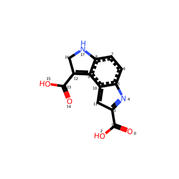 O=C(O)C1=Nc2ccc3c(c2=C1)=C(C(=O)O)CN3